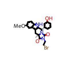 COc1ccc2[nH]c3c(c2c1)C[C@]1(C)C(=O)N(CCBr)C(=O)N1[C@H]3c1cccc(O)c1